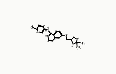 CC1(C)OCC(COc2ccc3c(Nc4ccc(Cl)nc4)nccc3c2)O1